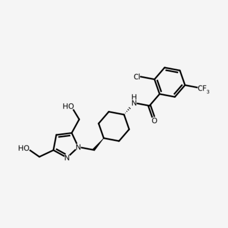 O=C(N[C@H]1CC[C@H](Cn2nc(CO)cc2CO)CC1)c1cc(C(F)(F)F)ccc1Cl